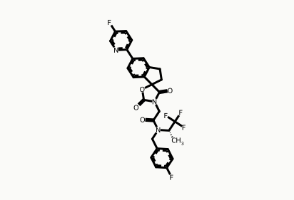 C[C@H](N(Cc1ccc(F)cc1)C(=O)CN1C(=O)OC2(CCc3cc(-c4ccc(F)cn4)ccc32)C1=O)C(F)(F)F